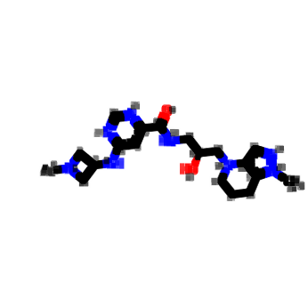 CC(=O)N1CC(Nc2cc(C(=O)NC[C@H](O)CN3CCCc4c3cnn4C)ncn2)C1